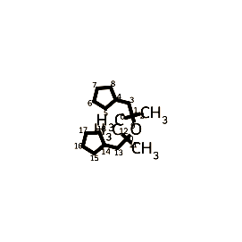 CC(C)(CC1CCCC1)OC(C)(C)CC1CCCC1